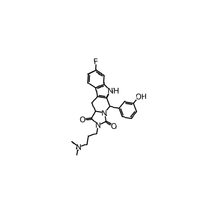 CN(C)CCCN1C(=O)C2Cc3c([nH]c4cc(F)ccc34)C(c3cccc(O)c3)N2C1=O